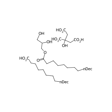 CCCCCCCCCCCCCCCCCC(=O)O.CCCCCCCCCCCCCCCCCC(=O)OCC(O)CO.O=C(O)CC(O)(CC(=O)O)C(=O)O